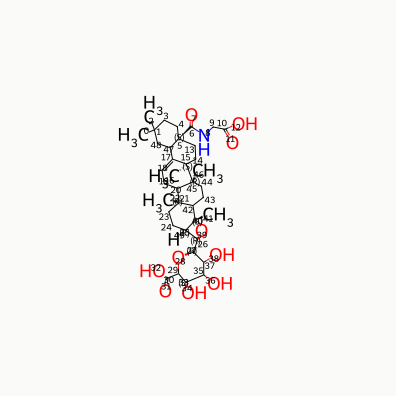 CC1(C)CC[C@]2(C(=O)NCC(=O)O)CC[C@]3(C)C(=CCC4[C@@]5(C)CC[C@@H]6[C@H]([C@@H]7OC(C(=O)O)[C@@H](O)C(O)C7O)O[C@@]6(C)C5CC[C@]43C)C2C1